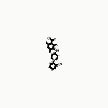 Cc1cc(C)c(C(=O)Cl)c(C)c1NC1CCN(c2ccccc2C#N)CC1